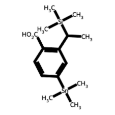 CC(c1c[c]([Sn]([CH3])([CH3])[CH3])ccc1C(=O)O)[Si](C)(C)C